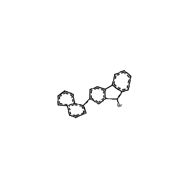 BrC1c2ccccc2-c2ccc(-c3cccc4ccccc34)cc21